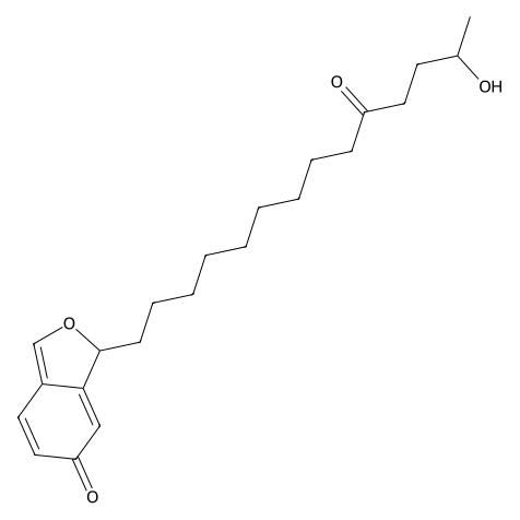 CC(O)CCC(=O)CCCCCCCCCC1OC=C2C=CC(=O)C=C21